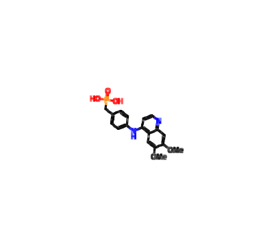 COc1cc2nccc(Nc3ccc(CP(=O)(O)O)cc3)c2cc1OC